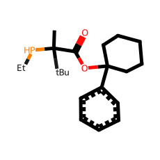 CCPC(C)(C(=O)OC1(c2ccccc2)CCCCC1)C(C)(C)C